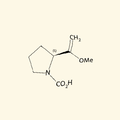 C=C(OC)[C@@H]1CCCN1C(=O)O